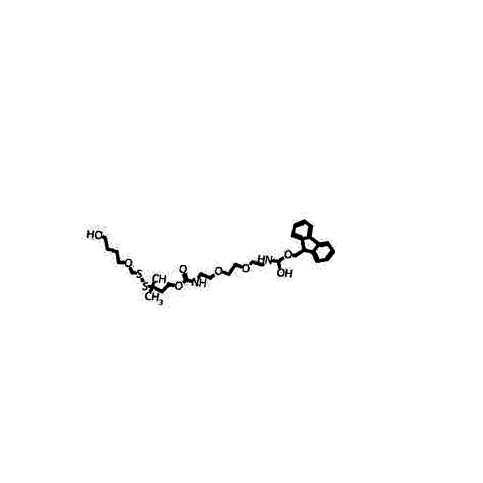 CC(C)(CCOC(=O)NCCOCCOCCNC(O)OCC1c2ccccc2-c2ccccc21)SSCOCCCCO